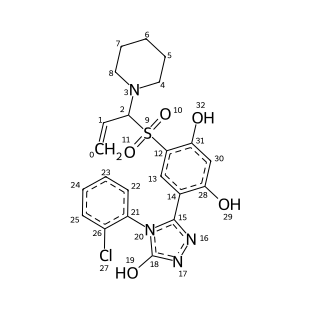 C=CC(N1CCCCC1)S(=O)(=O)c1cc(-c2nnc(O)n2-c2ccccc2Cl)c(O)cc1O